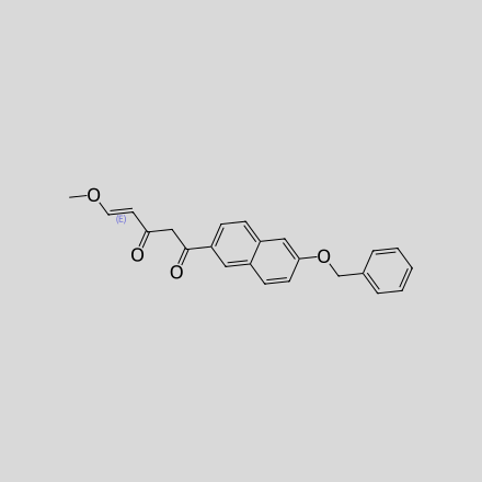 CO/C=C/C(=O)CC(=O)c1ccc2cc(OCc3ccccc3)ccc2c1